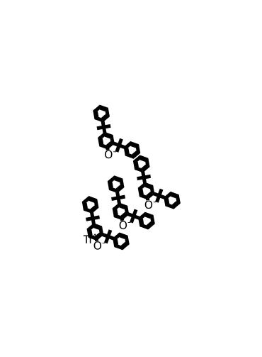 CC(C)(c1ccccc1)c1ccc([O-])c(C(C)(C)c2ccccc2)c1.CC(C)(c1ccccc1)c1ccc([O-])c(C(C)(C)c2ccccc2)c1.CC(C)(c1ccccc1)c1ccc([O-])c(C(C)(C)c2ccccc2)c1.CC(C)(c1ccccc1)c1ccc([O-])c(C(C)(C)c2ccccc2)c1.[Ti+4]